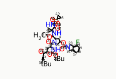 C=C[C@@H]1C[C@]1(NC(=O)C1C[C@@H](OC(=O)N2Cc3cccc(F)c3C2)CN1C(=O)[C@H](CCC(=O)C#CC(C)(C)C)NC(=O)OC(C)(C)C)C(=O)NS(=O)(=O)C1CC1